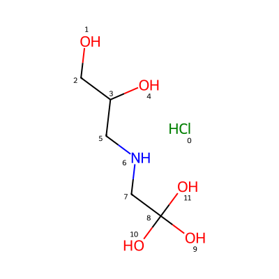 Cl.OCC(O)CNCC(O)(O)O